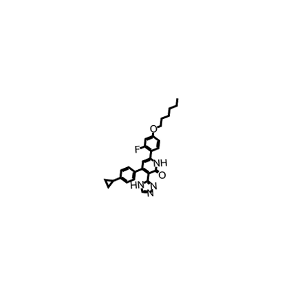 CCCCCCOc1ccc(-c2cc(-c3ccc(C4CC4)cc3)c(-c3nnc[nH]3)c(=O)[nH]2)c(F)c1